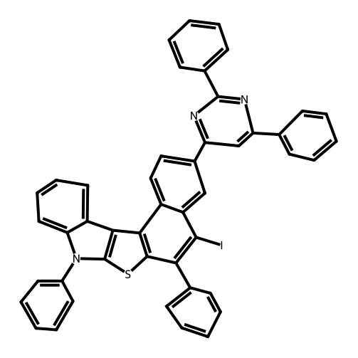 Ic1c(-c2ccccc2)c2sc3c(c4ccccc4n3-c3ccccc3)c2c2ccc(-c3cc(-c4ccccc4)nc(-c4ccccc4)n3)cc12